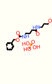 O=C(CCCNC(=O)OCc1ccccc1)NCCCO.O=P(O)(O)O